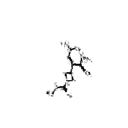 COC(=O)/C(=C\N(C)C)C1CN(C(=O)OC(C)(C)C)C1